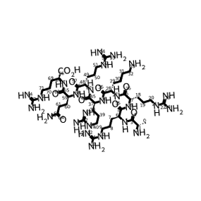 C[C@H](N)C(=O)N[C@@H](CCCNC(=N)N)C(=O)N[C@@H](CCCNC(=N)N)C(=O)N[C@@H](CCCCN)C(=O)N[C@@H](CCCNC(=N)N)C(=O)N[C@@H](CCCNC(=N)N)C(=O)N[C@@H](CCC(N)=O)C(=O)N[C@@H](CCCNC(=N)N)C(=O)O